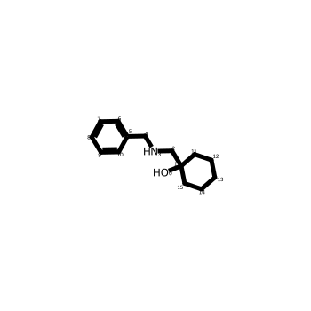 OC1(CNCc2ccccc2)CCCCC1